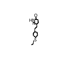 C=CCSc1ccc(C=Cc2ccc(=O)[nH]n2)cc1